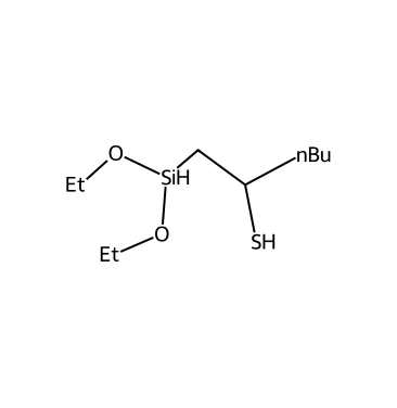 CCCCC(S)C[SiH](OCC)OCC